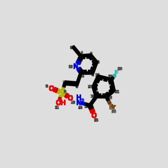 Cc1cccc(C=CS(=O)(=O)O)n1.NC(=O)c1ccc(F)cc1Br